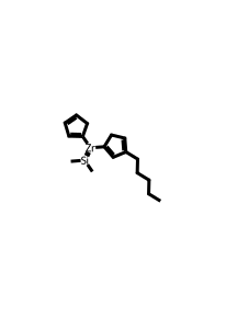 CCCCCC1=CC[C]([Zr]([C]2=CC=CC2)=[Si](C)C)=C1